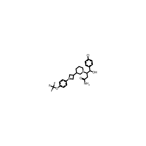 NC(=O)CC(C(O)c1ccc(Cl)cc1)N1CCCC(C2CN(c3ccc(OC(F)(F)F)cc3)C2)C1